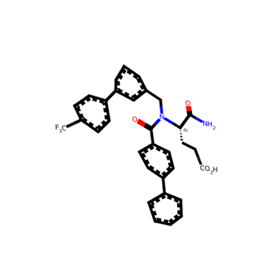 NC(=O)[C@H](CCC(=O)O)N(Cc1cccc(-c2ccc(C(F)(F)F)cc2)c1)C(=O)c1ccc(-c2ccccc2)cc1